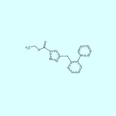 CCOC(=O)c1cc(Cc2ccccc2-c2ccccc2)on1